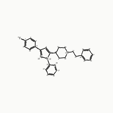 Fc1ccc(-c2cc(C3CCN(CCc4ccccc4)CC3)n(-c3ccccn3)n2)cc1